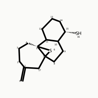 C=C1CCC[C@]23SC2(CCC2C3CCC[C@@H]2S)C1